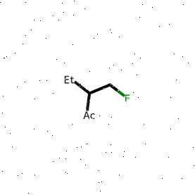 CCC(CF)C(C)=O